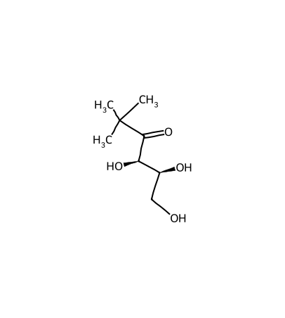 CC(C)(C)C(=O)[C@H](O)[C@@H](O)CO